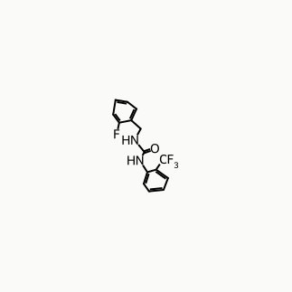 O=C(NCc1ccccc1F)Nc1ccccc1C(F)(F)F